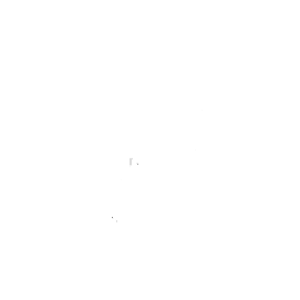 O=Cc1ncccc1NSc1ccc2ccccc2c1